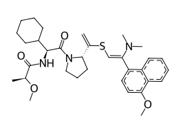 C=C(S/C=C(/c1ccc(OC)c2ccccc12)N(C)C)[C@@H]1CCCN1C(=O)[C@@H](NC(=O)[C@H](C)OC)C1CCCCC1